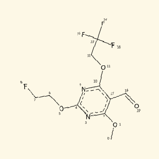 COc1nc(OCCF)nc(OCC(F)(F)F)c1C=O